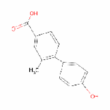 Cc1cc(C(=O)O)ccc1-c1ccc(O)cc1